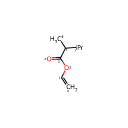 C=COC(=O)C(C)C(C)C